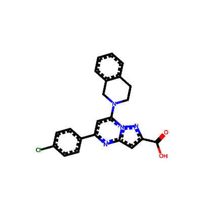 O=C(O)c1cc2nc(-c3ccc(Cl)cc3)cc(N3CCc4ccccc4C3)n2n1